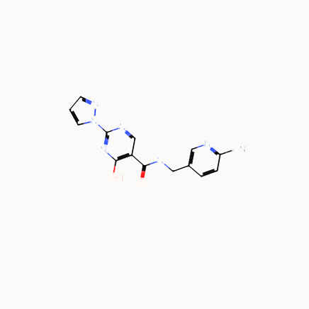 N#Cc1ccc(CNC(=O)c2cnc(-n3cccn3)nc2O)cn1